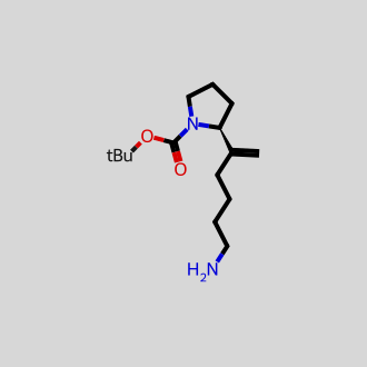 C=C(CCCCN)[C@@H]1CCCN1C(=O)OC(C)(C)C